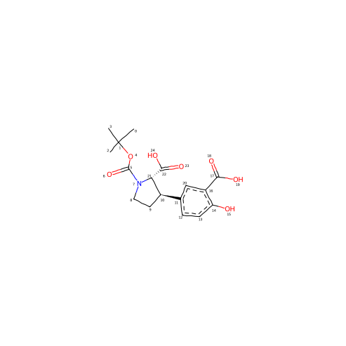 CC(C)(C)OC(=O)N1CC[C@H](c2ccc(O)c(C(=O)O)c2)[C@H]1C(=O)O